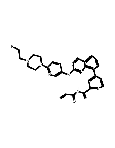 C=CC(=O)NC(=O)c1cc(-c2cccc3cnc(Nc4ccc(N5CCN(CCF)CC5)nc4)nc23)ccn1